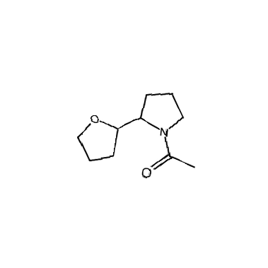 CC(=O)N1CCCC1C1CCCO1